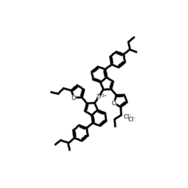 CCCc1ccc(C2=Cc3c(-c4ccc(C(C)CC)cc4)cccc3[CH]2[Zr+2][CH]2C(c3ccc(CCC)o3)=Cc3c(-c4ccc(C(C)CC)cc4)cccc32)o1.[Cl-].[Cl-]